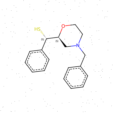 S[C@@H](c1ccccc1)[C@@H]1CN(Cc2ccccc2)CCO1